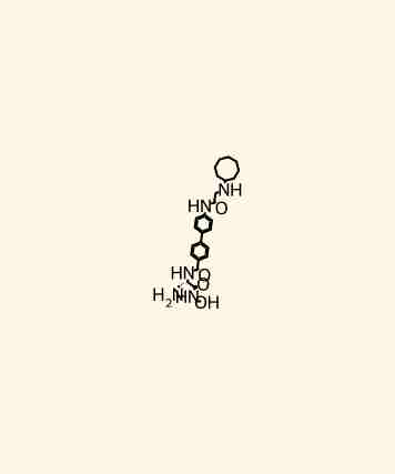 NC[C@H](NC(=O)c1ccc(-c2ccc(NC(=O)CNC3CCCCCCC3)cc2)cc1)C(=O)NO